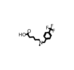 CN(CCCCC(=O)O)Cc1ccc(C(F)(F)F)cc1